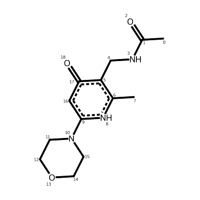 CC(=O)NCc1c(C)[nH]c(N2CCOCC2)cc1=O